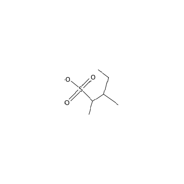 CCC(C)C(C)S([O])(=O)=O